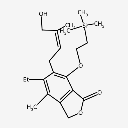 CCc1c(C)c2c(c(OCC[Si](C)(C)C)c1CC=C(C)CO)C(=O)OC2